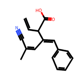 C=CC(C(=O)O)C(C=C(C)C#N)=Cc1ccccc1